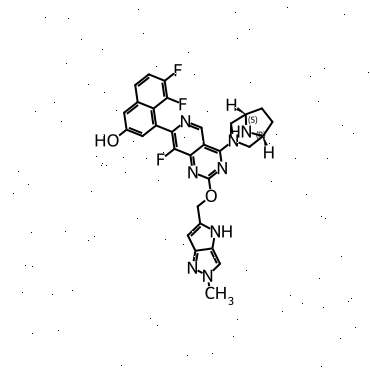 Cn1cc2[nH]c(COc3nc(N4C[C@H]5CC[C@@H](C4)N5)c4cnc(-c5cc(O)cc6ccc(F)c(F)c56)c(F)c4n3)cc2n1